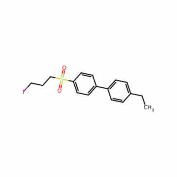 CCc1ccc(-c2ccc(S(=O)(=O)CCCI)cc2)cc1